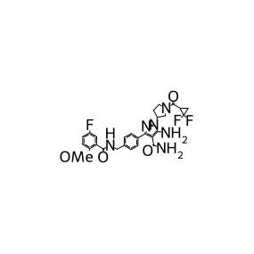 COc1ccc(F)cc1C(=O)NCc1ccc(-c2nn([C@H]3CCN(C(=O)C4CC4(F)F)C3)c(N)c2C(N)=O)cc1